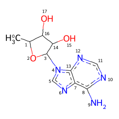 CC1OC(n2cnc3c(N)ncnc32)C(O)C1O